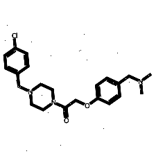 CN(C)Cc1ccc(OCC(=O)N2CCN(Cc3ccc(Cl)cc3)CC2)cc1